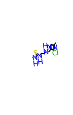 CNC(=S)NCCNCc1ncc(C)nc1Cl